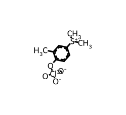 Cc1cc([S+](C)C)ccc1O[Cl+3]([O-])([O-])[O-]